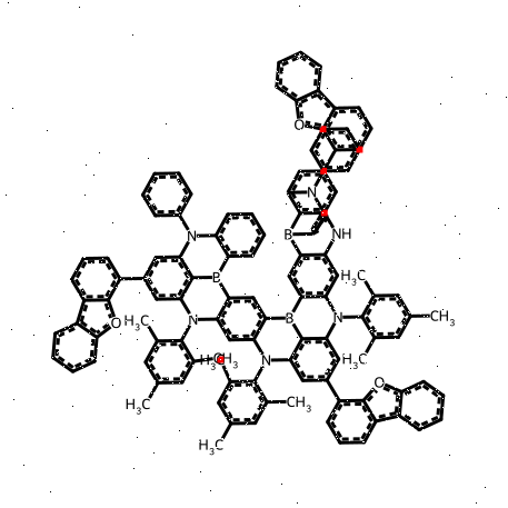 Cc1cc(C)c(N2c3cc4c(cc3B3c5ccccc5N(c5ccccc5)c5cc(-c6cccc7c6oc6ccccc67)cc2c53)B2c3cc5c(cc3N(c3c(C)cc(C)cc3C)c3cc(-c6cccc7c6oc6ccccc67)cc(c32)N4c2c(C)cc(C)cc2C)Nc2cc(-c3cccc4c3oc3ccccc34)cc3c2B5c2ccccc2N3c2ccccc2)c(C)c1